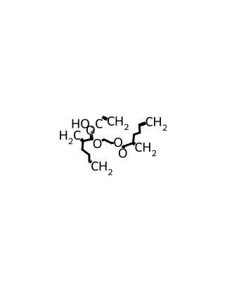 C=CC(=O)O.C=CCCC(=C)C(=O)OCCOC(=O)C(=C)CCC=C